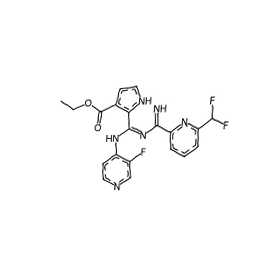 CCOC(=O)c1cc[nH]c1/C(=N\C(=N)c1cccc(C(F)F)n1)Nc1ccncc1F